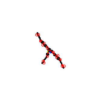 C=CC(=O)OCCCCCCOc1ccc(OC(=O)C2CCC(COc3ccc4c(c3)nc(Sc3ccc(OCCCCCCOC(=O)C=C)cc3)c3cc(OCC5CCC(C(=O)Oc6ccc(OCCCCCCOC(=O)C=C)cc6)CC5)ccc34)CC2)cc1